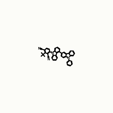 CC(C)(C)c1c(C#N)ccc(-n2c3ccccc3c3c(-c4ccc5c(c4)c4ccccc4n5-c4ccccc4)cccc32)c1C#N